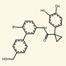 CC(C)c1ccc(NC(=O)C2(c3ccc(O)c(O)c3)CC2)cc1-c1ccc(CO)cc1